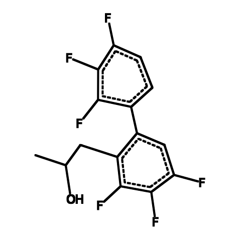 CC(O)Cc1c(-c2ccc(F)c(F)c2F)cc(F)c(F)c1F